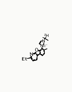 [2H]C(C)(C)N1C=CN(c2c(C)ccc3c2oc2nc(CC)ccc23)[C@H]1C